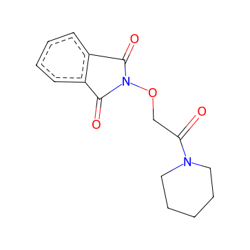 O=C(CON1C(=O)c2ccccc2C1=O)N1CCCCC1